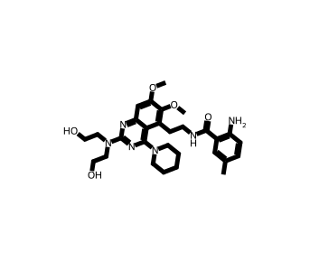 COc1cc2nc(N(CCO)CCO)nc(N3CCCCC3)c2c(CCNC(=O)c2cc(C)ccc2N)c1OC